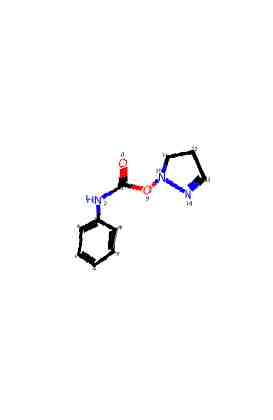 O=C(Nc1ccccc1)ON1CCC=N1